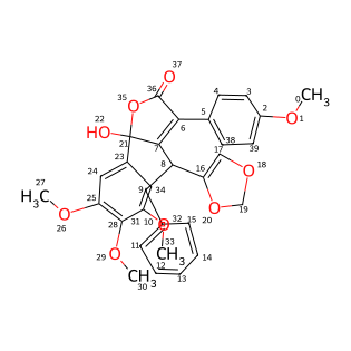 COc1ccc(C2=C(C(Cc3ccccc3)C3=COCO3)C(O)(c3cc(OC)c(OC)c(OC)c3)OC2=O)cc1